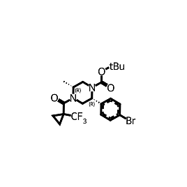 C[C@@H]1CN(C(=O)OC(C)(C)C)[C@H](c2ccc(Br)cc2)CN1C(=O)C1(C(F)(F)F)CC1